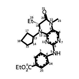 CCOC(=O)c1ccc(Nc2ncc3c(n2)N(C2CCCC2)[C@H](CC)C(=O)N3C)cc1